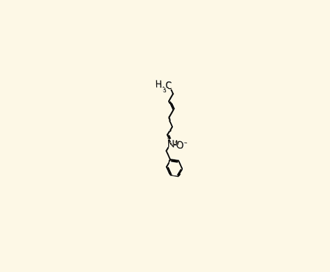 CCC=CCCC=[N+]([O-])Cc1ccccc1